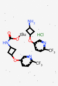 CC(C)(C)OC(=O)NC1CC(Oc2ccc(C(F)(F)F)nc2)C1.Cl.NC1CC(Oc2ccc(C(F)(F)F)nc2)C1